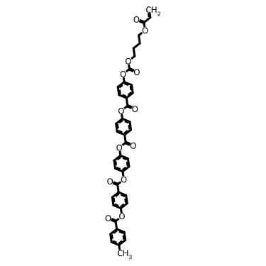 C=CC(=O)OCCCCOC(=O)Oc1ccc(C(=O)Oc2ccc(C(=O)Oc3ccc(OC(=O)c4ccc(OC(=O)c5ccc(C)cc5)cc4)cc3)cc2)cc1